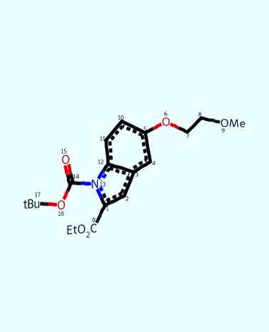 CCOC(=O)c1cc2cc(OCCOC)ccc2n1C(=O)OC(C)(C)C